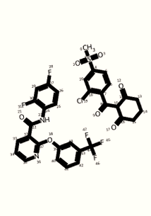 CS(=O)(=O)c1ccc(C(=O)C2C(=O)CCCC2=O)c(Cl)c1.O=C(Nc1ccc(F)cc1F)c1cccnc1Oc1cccc(C(F)(F)F)c1